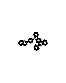 c1ccc(-c2nc3ccccc3c3cc4c5ccccc5n(-c5ccc(-c6ccc7ccccc7n6)cc5)c4cc23)cc1